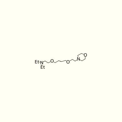 CCN(CC)CCOCC[CH]COCCN1CCOCC1